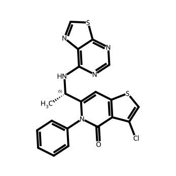 C[C@H](Nc1ncnc2scnc12)c1cc2scc(Cl)c2c(=O)n1-c1ccccc1